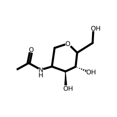 CC(=O)NC1COC(CO)[C@H](O)[C@H]1O